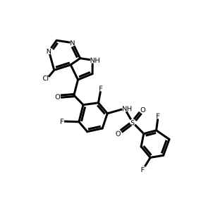 O=C(c1c(F)ccc(NS(=O)(=O)c2cc(F)ccc2F)c1F)c1c[nH]c2ncnc(Cl)c12